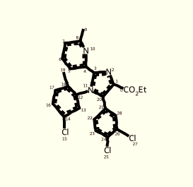 CCOC(=O)c1nc(-c2cccc(C)n2)n(-c2cc(Cl)ccc2C)c1-c1ccc(Cl)c(Cl)c1